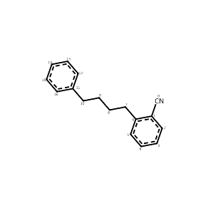 N#Cc1ccccc1CCCCc1ccccc1